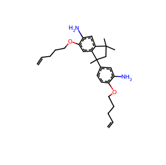 C=CCCCOc1ccc(C2(C)CC(C)(C)c3cc(N)c(OCCCC=C)cc32)cc1N